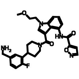 COCCn1cc(C(=O)N2CCC(c3cc(CN)ccc3F)CC2)c2c(NC(=O)c3ccno3)cccc21